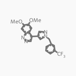 COc1cc2nncc(-c3cnn(Cc4cccc(C(F)(F)F)c4)c3)c2cc1OC